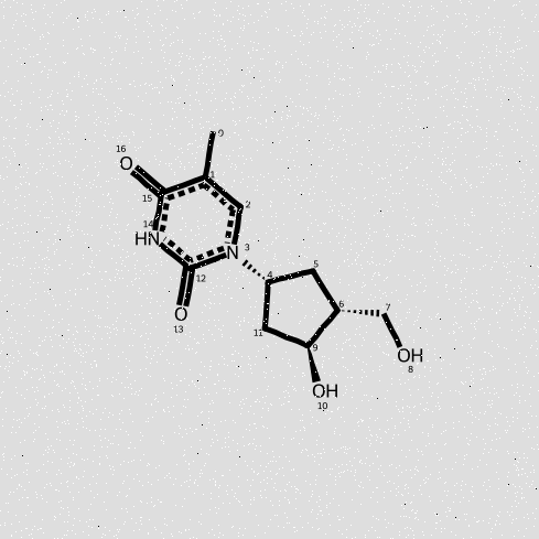 Cc1cn([C@@H]2C[C@H](CO)[C@@H](O)C2)c(=O)[nH]c1=O